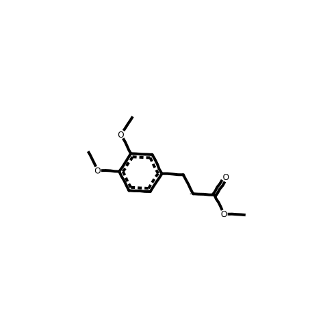 COC(=O)[CH]Cc1ccc(OC)c(OC)c1